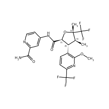 COc1nc(C(F)(F)F)ccc1[C@@H]1[C@@H](C(=O)Nc2ccnc(C(N)=O)c2)O[C@](C)(C(F)(F)F)[C@H]1C